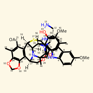 COc1ccc2[nH]c3c(c2c1)C[C@@H](CN)N[C@]31CS[C@@H]2c3c(OC(C)=O)c(C)c4c(c3[C@H](COC1=O)N1[C@@H]2[C@@H]2c3c(cc(C)c(OC)c3O)CC1(C)CN2C)OCO4